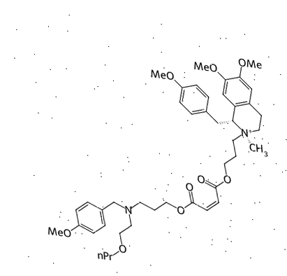 CCCOCCN(CCCOC(=O)/C=C\C(=O)OCCC[N@+]1(C)CCc2cc(OC)c(OC)cc2[C@H]1Cc1ccc(OC)cc1)Cc1ccc(OC)cc1